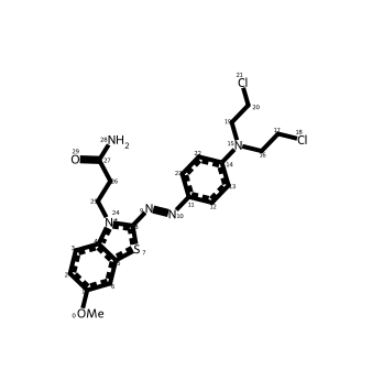 COc1ccc2c(c1)sc(N=Nc1ccc(N(CCCl)CCCl)cc1)[n+]2CCC(N)=O